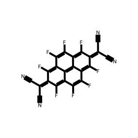 N#CC(C#N)=c1c(F)c2c(F)c(F)c3c(F)c(=C(C#N)C#N)c(F)c4c(F)c(F)c(c1F)c2c34